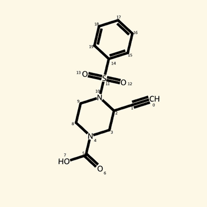 C#CC1CN(C(=O)O)CCN1S(=O)(=O)c1ccccc1